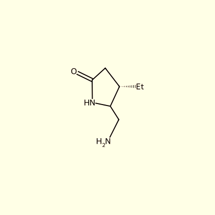 CC[C@H]1CC(=O)NC1CN